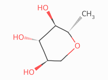 C[C@@H]1OC[C@@H](O)[C@H](O)[C@H]1O